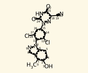 Cc1c(O)ccc2c1cnn2-c1c(Cl)cc(-n2nc(C#N)c(=O)[nH]c2=O)cc1Cl